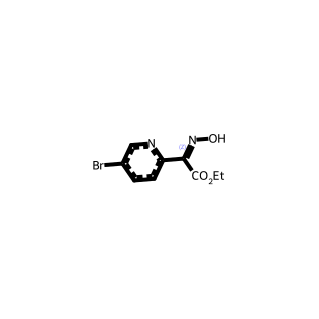 CCOC(=O)/C(=N\O)c1ccc(Br)cn1